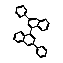 c1ccc(-c2cc(-c3cc(-c4ccccc4)cc4ccccc34)c3ccccc3c2)cc1